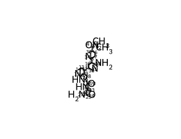 CN(C)C(=O)c1ccc(-c2cc(-c3ccnc4[nH]c(C(=O)N[C@H]5COC[C@H]5N)cc34)cnc2N)nc1